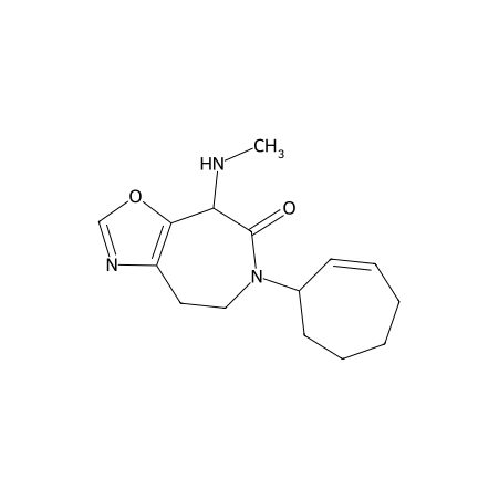 CNC1C(=O)N(C2C=CCCCC2)CCc2ncoc21